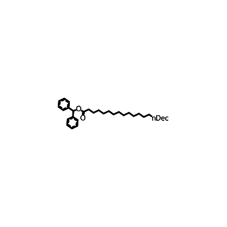 CCCCCCCCCCCCCCCCCCCCCCCC(=O)OC(c1ccccc1)c1ccccc1